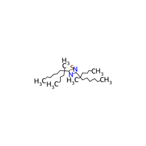 CCCCCCC(C)(CCCC)c1nsc(C(C)(CCCC)CCCCCC)n1